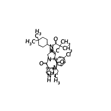 CCN(CC)C(=O)[C@@H]1C[C@H](N(C(=O)C(C)(C)C)C2CCC(C)(C)CC2)CN1C(=O)[C@@H]1CNC[C@H]1c1ccc(Cl)cc1